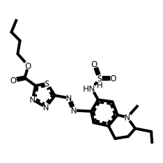 CCCCOC(=O)c1nnc(N=Nc2cc3c(cc2N[SH](=O)=O)N(C)C(CC)CC3)s1